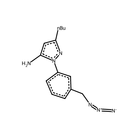 CCCCc1cc(N)n(-c2cccc(CN=[N+]=[N-])c2)n1